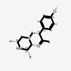 CC(=O)[C@H](CN1C[C@@H](C)N[C@@H](C)C1)c1ccc(Cl)cc1